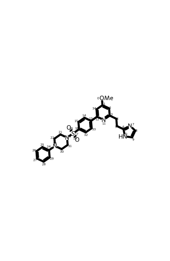 COc1cc(CCc2ncc[nH]2)nc(-c2ccc(S(=O)(=O)N3CCN(c4ccccc4)CC3)cc2)c1